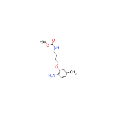 Cc1ccc(N)c(OCCCCNC(=O)OC(C)(C)C)c1